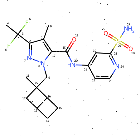 Cc1c(C(C)(F)F)nn(CC2(C)CC3CCC32)c1C(=O)Nc1ccnc(S(N)(=O)=O)c1